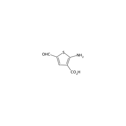 Nc1sc(C=O)cc1C(=O)O